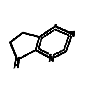 [c]1ncnc2c1CCN2